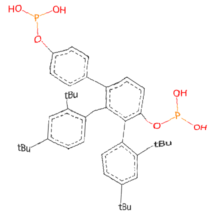 CC(C)(C)c1ccc(-c2c(OP(O)O)ccc(-c3ccc(OP(O)O)cc3)c2-c2ccc(C(C)(C)C)cc2C(C)(C)C)c(C(C)(C)C)c1